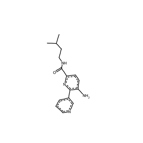 CC(C)CCNC(=O)c1ccc(N)c(-c2cccnc2)n1